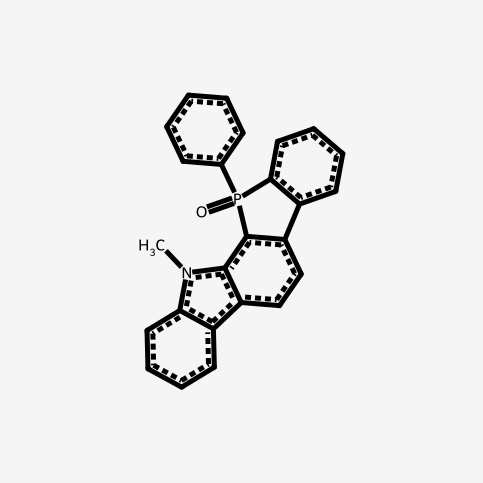 Cn1c2ccccc2c2ccc3c(c21)P(=O)(c1ccccc1)c1ccccc1-3